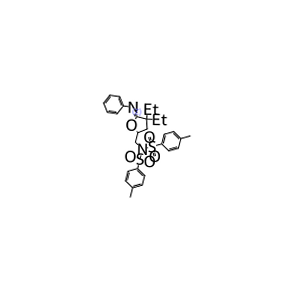 CCC1(CC)CC(CN(S(=O)(=O)c2ccc(C)cc2)S(=O)(=O)c2ccc(C)cc2)O/C1=N\c1ccccc1